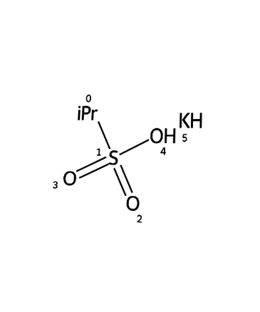 CC(C)S(=O)(=O)O.[KH]